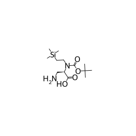 CC(C)(C)OC(=O)N(CC[Si](C)(C)C)[C@H](CN)C(=O)O